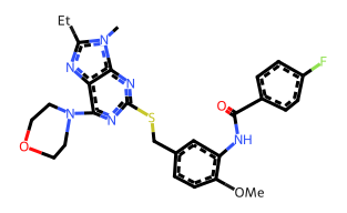 CCc1nc2c(N3CCOCC3)nc(SCc3ccc(OC)c(NC(=O)c4ccc(F)cc4)c3)nc2n1C